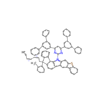 C#C/C=C\C=C/CC1(c2ccccc2C)c2ccccc2-c2c1ccc1c3cc4c(cc3n(-c3nc(-c5cc(-c6ccccc6)cc(-c6ccccc6)c5)cc(-c5cc(-c6ccccc6)cc(-c6ccccc6)c5)n3)c21)sc1ccccc14